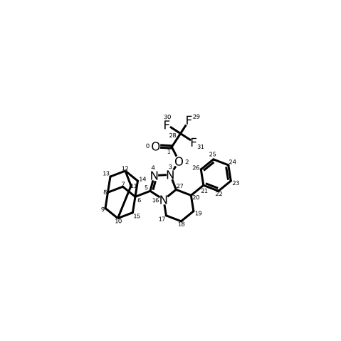 O=C(ON1N=C(C23CC4CC(CC(C4)C2)C3)N2CCCC(c3ccccc3)C12)C(F)(F)F